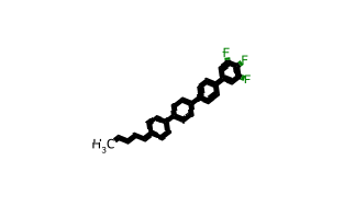 CCCCCC1CCC(C2CCC(c3ccc(-c4cc(F)c(F)c(F)c4)cc3)CC2)CC1